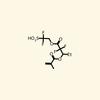 C=C(C)C(=O)OC(CC)C(F)(F)C(=O)OCC(F)(F)S(=O)(=O)O